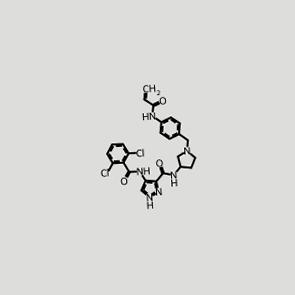 C=CC(=O)Nc1ccc(CN2CCC(NC(=O)c3n[nH]cc3NC(=O)c3c(Cl)cccc3Cl)C2)cc1